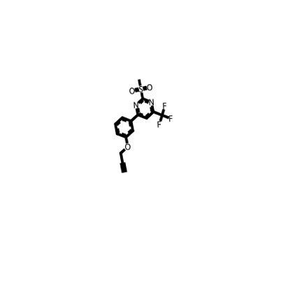 C#CCOc1cccc(-c2cc(C(F)(F)F)nc(S(C)(=O)=O)n2)c1